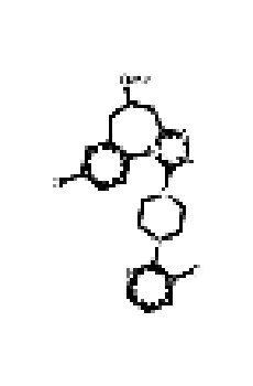 COC1Cc2cc(Cl)ccc2-n2c(nnc2N2CCN(c3ncccc3Cl)CC2)C1